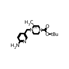 C[C@@H]1CN(C(=O)OC(C)(C)C)CCN1Cc1ccc(N)nc1